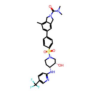 Cc1cc(-c2ccc(S(=O)(=O)N3CC[C@@H](Nc4ccc(C(F)(F)F)cn4)[C@@H](O)C3)cc2)cc2c1CN(C(=O)N(C)C)C2